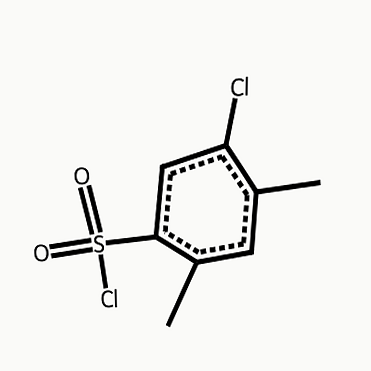 Cc1cc(C)c(S(=O)(=O)Cl)cc1Cl